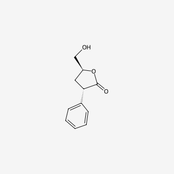 O=C1O[C@H](CO)C[C@H]1c1ccccc1